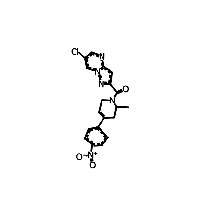 CC1CC(c2ccc([N+](=O)[O-])cc2)=CCN1C(=O)c1cc2ncc(Cl)cn2n1